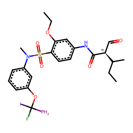 CCOc1cc(NC(=O)[C@@H](C=O)C(C)CC)ccc1S(=O)(=O)N(C)c1cccc(OC(F)(P)I)c1